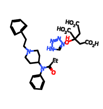 CCC(=O)N(c1ccccc1)C1CCN(CCc2ccccc2)CC1.O=C(O)CC(O)(CC(=O)O)C(=O)O.c1nnn[nH]1